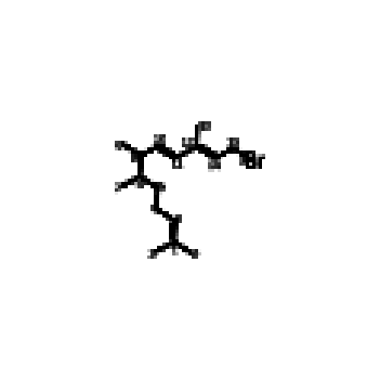 CC(C)=CCCC(C)C(C)/C=C/C(C)=C/CBr